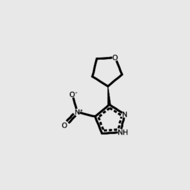 O=[N+]([O-])c1c[nH]nc1[C@H]1CCOC1